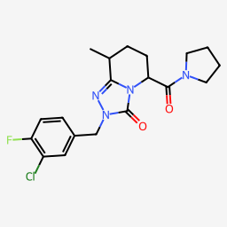 CC1CCC(C(=O)N2CCCC2)n2c1nn(Cc1ccc(F)c(Cl)c1)c2=O